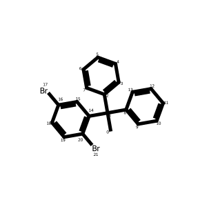 CC(c1ccccc1)(c1ccccc1)c1cc(Br)ccc1Br